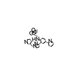 O=S(=O)(F)CCNc1ccc(-c2ccccn2)cc1-c1ccn(Cc2cccnc2)n1